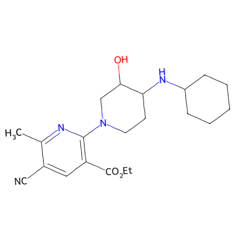 CCOC(=O)c1cc(C#N)c(C)nc1N1CCC(NC2CCCCC2)C(O)C1